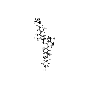 CS(=O)(=O)NCc1cc(F)cc(-c2ccnc3[nH]c(-c4n[nH]c5ncc(-c6cncc(NC(=O)CC7CCNCC7)c6)cc45)cc23)c1